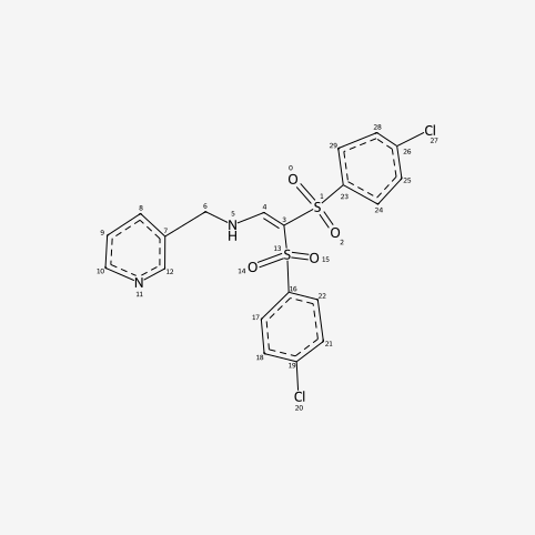 O=S(=O)(C(=CNCc1cccnc1)S(=O)(=O)c1ccc(Cl)cc1)c1ccc(Cl)cc1